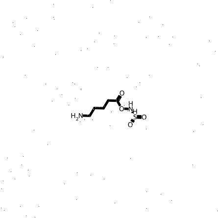 NCCCCC(=O)ON[SH](=O)=O